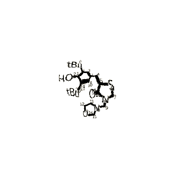 CC(C)(C)c1cc(C=C2SCN(CN3CCOCC3)C2=O)cc(C(C)(C)C)c1O